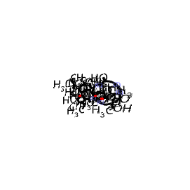 CCc1c(Cl)c(O)c(Cl)c(O)c1C(=O)O[C@H]1[C@H](O)[C@H](OC)[C@H](OC/C2=C\C=C/CC(O)/C(C)=C/C(CC)C(O[C@@H]3OC(C)(C)[C@@H](OC(=O)C(C)C)[C@H](O)[C@@H]3O)/C(C)=C/C(C)=C/CC([C@H](C)O)OC2=O)O[C@@H]1C